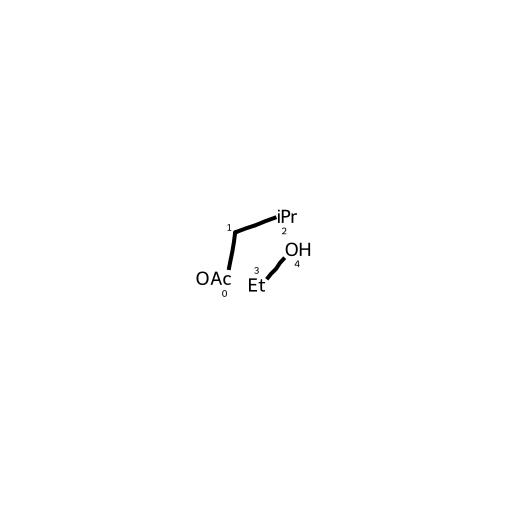 CC(=O)OCC(C)C.CCO